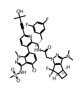 CN(C)c1nn(CC(=O)N[C@@H](Cc2cc(F)cc(F)c2)c2nc(C#CC(C)(C)O)ccc2-c2ccc(Cl)c3c(NS(C)(=O)=O)nn(C)c23)c2c1[C@H]1CC[C@H]1C2(F)F